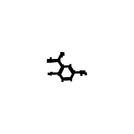 CCC(=N)c1cc([N+](=O)[O-])ccc1F